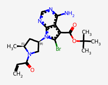 C=CC(=O)N1C[C@H](n2c(Br)c(C(=O)OC(C)(C)C)c3c(N)ncnc32)C[C@@H]1C